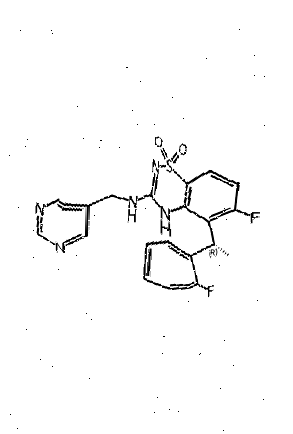 C[C@H](c1ccccc1F)c1c(F)ccc2c1NC(NCc1cncnc1)=NS2(=O)=O